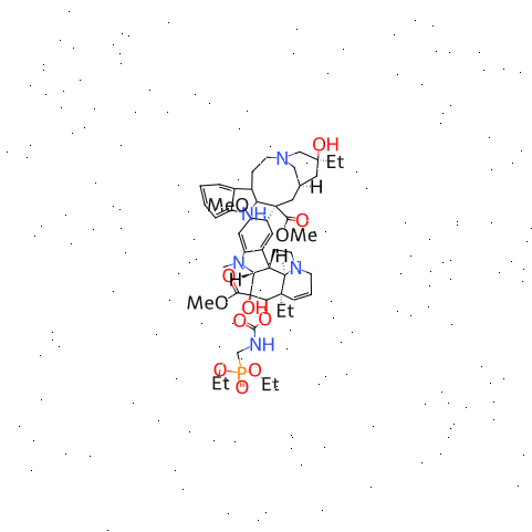 CCOP(=O)(CNC(=O)O[C@@H]1[C@]2(CC)C=CCN3CC[C@@]4(C5=CC([C@@]6(C(=O)OC)C[C@H]7CN(CCC8c9ccccc9NC86)C[C@](O)(CC)C7)C(OC)C=C5N(C)[C@H]4[C@@]1(O)C(=O)OC)[C@@H]32)OCC